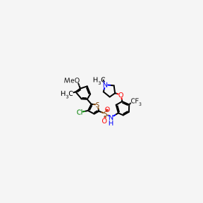 COc1ccc(-c2sc(S(=O)(=O)Nc3ccc(C(F)(F)F)c(OC4CCN(C)C4)c3)cc2Cl)cc1C